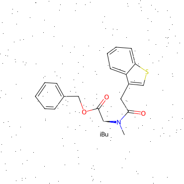 CC[C@H](C)[C@@H](C(=O)OCc1ccccc1)N(C)C(=O)Cc1csc2ccccc12